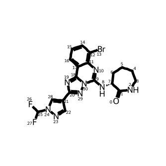 O=C1NCCCC[C@H]1Nc1nc2c(Br)cccc2c2nc(-c3cnn(C(F)F)c3)nn12